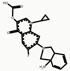 NC12C=CC=CC1CN(c1cc3c(cc1F)c(=O)c(OC(=O)O)cn3C1CC1)C2